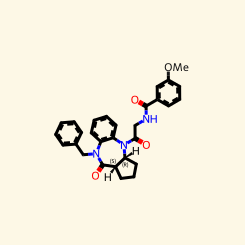 COc1cccc(C(=O)NCC(=O)N2c3ccccc3N(Cc3ccccc3)C(=O)[C@H]3CCC[C@H]32)c1